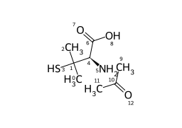 CC(C)(S)[C@H](N)C(=O)O.CC(C)=O